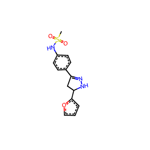 CS(=O)(=O)Nc1ccc(C2=NNC(c3ccco3)C2)cc1